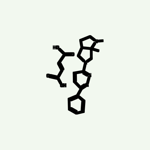 CN1CCC2CN(c3ccc(-c4ccccc4)nn3)CC21C.O=C(O)C=CC(=O)O